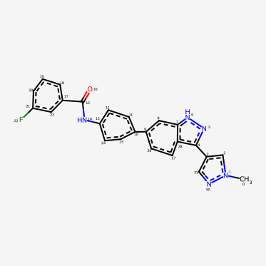 Cn1cc(-c2n[nH]c3cc(-c4ccc(NC(=O)c5cccc(F)c5)cc4)ccc23)cn1